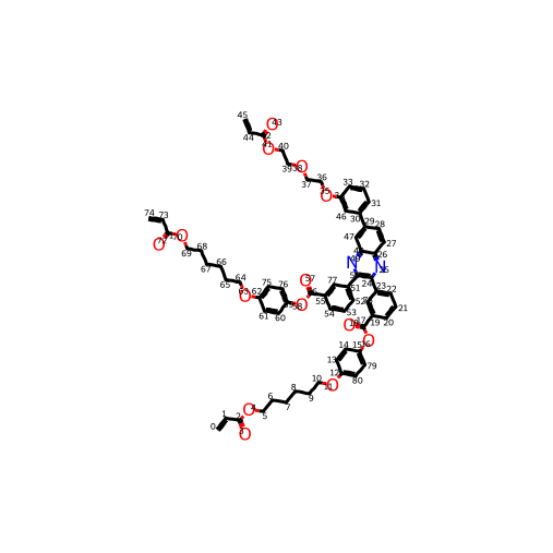 C=CC(=O)OCCCCCCOc1ccc(OC(=O)c2cccc(-c3nc4ccc(-c5cccc(OCCOCCOC(=O)C=C)c5)cc4nc3-c3cccc(C(=O)Oc4ccc(OCCCCCCOC(=O)C=C)cc4)c3)c2)cc1